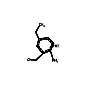 CCc1ccc(N)c(CCl)c1.Cl